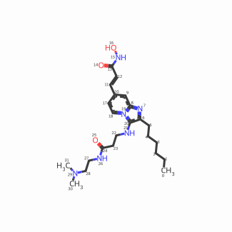 CCCCCCc1nc2cc(C=CC(=O)NO)ccn2c1NCCC(=O)NCCN(C)C